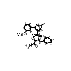 COc1cccc(-c2nn(C)cc2C(=O)NC(Cc2ccccc2)C(=O)C(N)=O)c1